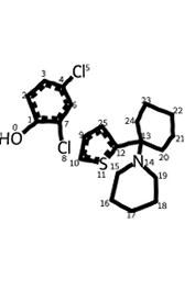 Oc1ccc(Cl)cc1Cl.c1csc(C2(N3CCCCC3)CCCCC2)c1